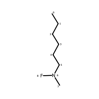 CCCCCCN(C)F